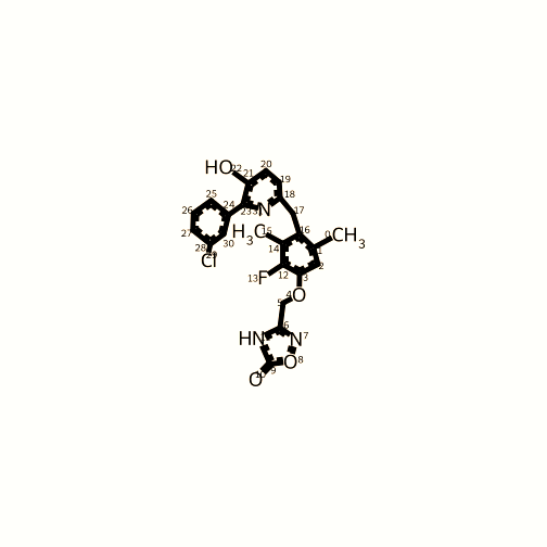 Cc1cc(OCc2noc(=O)[nH]2)c(F)c(C)c1Cc1ccc(O)c(-c2cccc(Cl)c2)n1